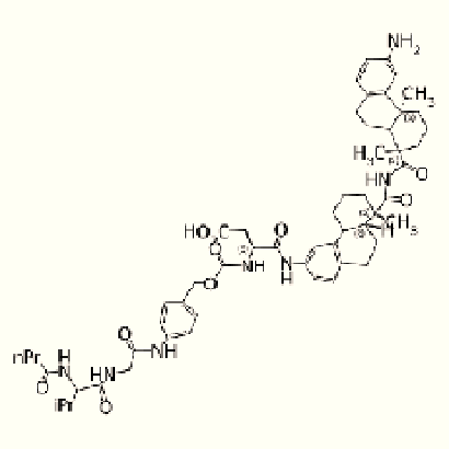 CCCC(=O)NC(C(=O)NCC(=O)Nc1ccc(COC(=O)N[C@@H](CC(=O)O)C(=O)Nc2ccc3c(c2)C2CCC[C@](C)(C(=O)NC(=O)[C@@]4(C)CCC[C@]5(C)c6cc(N)ccc6CCC45)[C@@H]2CC3)cc1)C(C)C